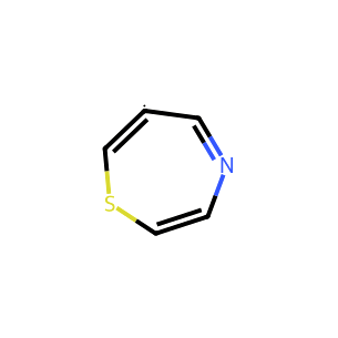 [C]1=CSC=CN=C1